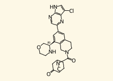 O=C1CC2CCC1CN2C(=O)N1CCc2cc(-c3cnc4[nH]cc(Cl)c4n3)cc([C@@H]3COCCN3)c2C1